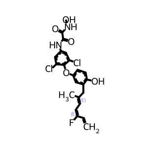 C=C/C(F)=C\C=C(/C)Cc1cc(Oc2c(Cl)cc(NC(=O)C(=O)NO)cc2Cl)ccc1O